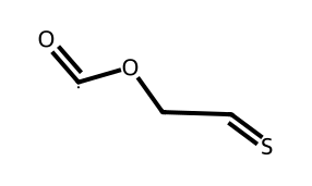 O=[C]OCC=S